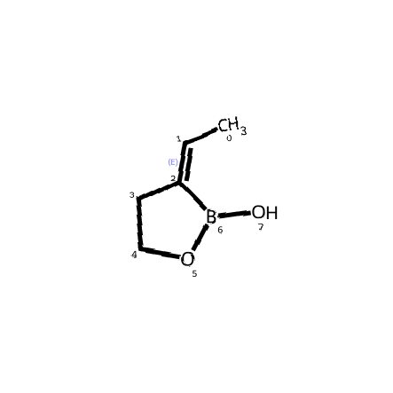 C/C=C1/CCOB1O